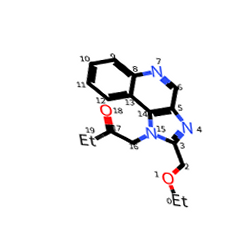 CCOCc1nc2cnc3ccccc3c2n1CC(=O)CC